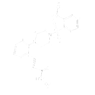 O=C(/C=C/c1ccccc1N1CCN(S(=O)(=O)c2ccccc2OC(F)(F)F)CC1)NO